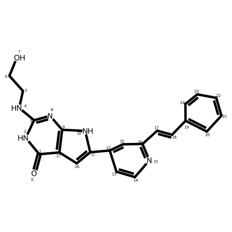 O=c1[nH]c(NCCO)nc2[nH]c(-c3ccnc(C=Cc4ccccc4)c3)cc12